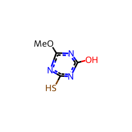 COc1nc(O)nc(S)n1